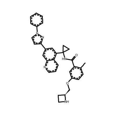 Cc1ccc(OC[C@@H]2CCN2)cc1C(=O)NC1(c2cc(-c3ccn(-c4ccccc4)n3)cc3ncccc23)CC1